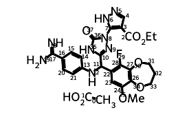 CC(=O)O.CCOC(=O)c1cn[nH]c1-n1nc(C(Nc2ccc(C(=N)N)cc2)c2cc(OC)c3c(c2F)OCCCO3)[nH]c1=O